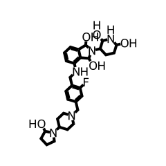 OC1CCC(N2C(O)c3cccc(NCc4ccc(CN5CCC(N6CCCC6O)CC5)cc4F)c3C2O)C(O)N1